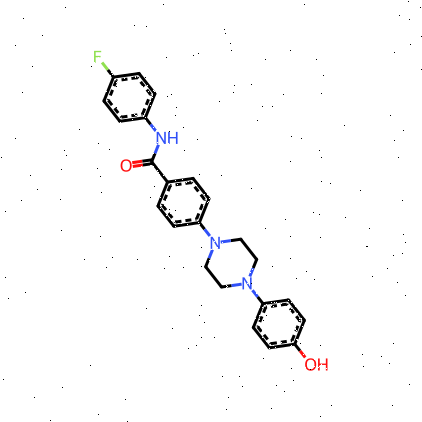 O=C(Nc1ccc(F)cc1)c1ccc(N2CCN(c3ccc(O)cc3)CC2)cc1